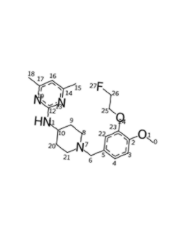 COc1ccc(CN2CCC(Nc3nc(C)cc(C)n3)CC2)cc1OCCF